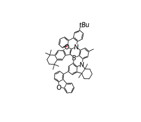 Cc1cc2c3c(c1)N1c4c(cc(-c5cccc6oc7ccccc7c56)cc4C4(C)CCCCC14C)B3c1c(oc3cc4c(cc13)C(C)(C)CCC4(C)C)N2c1ccc(C(C)(C)C)cc1-c1ccccc1